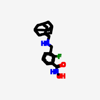 O=C(NO)c1cccc(CNCC23CC4CC(CC(C4)C2)C3)c1F